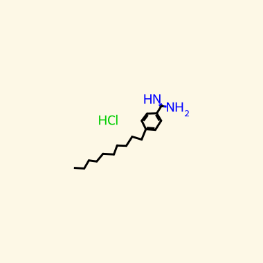 CCCCCCCCCCc1ccc(C(=N)N)cc1.Cl